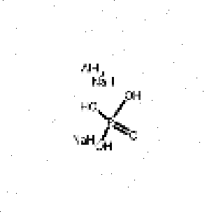 O=P(O)(O)O.[AlH3].[NaH].[NaH]